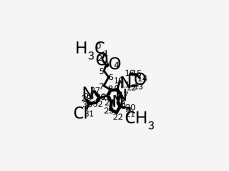 CCOC(=O)CCCc1c(CN2CCOCC2)nn2c(CC)ccc2c1-c1cncc(Cl)c1